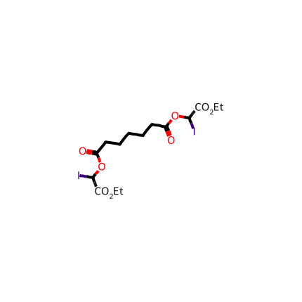 CCOC(=O)C(I)OC(=O)CCCCCC(=O)OC(I)C(=O)OCC